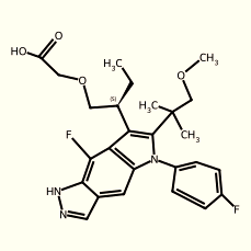 CC[C@H](COCC(=O)O)c1c(C(C)(C)COC)n(-c2ccc(F)cc2)c2cc3cn[nH]c3c(F)c12